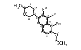 CCOc1ccc2cc(C3=CCC(C)OC3)c(F)c(F)c2c1F